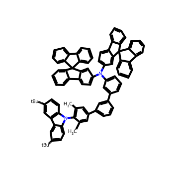 Cc1cc(-c2cccc(-c3cccc(N(c4ccc5c(c4)C4(c6ccccc6-c6ccccc64)c4ccccc4-5)c4ccc5c(c4)C4(c6ccccc6-c6ccccc64)c4ccccc4-5)c3)c2)cc(C)c1-n1c2ccc(C(C)(C)C)cc2c2cc(C(C)(C)C)ccc21